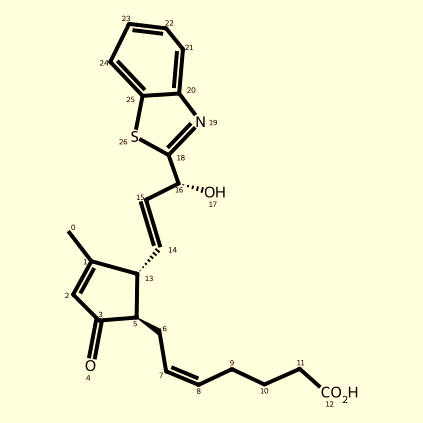 CC1=CC(=O)[C@H](C/C=C\CCCC(=O)O)[C@H]1/C=C/[C@@H](O)c1nc2ccccc2s1